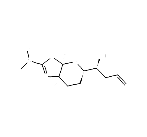 C=CC[C@H](O)[C@H]1CC[C@H]2N=C(N(C)CCC)S[C@H]2O1